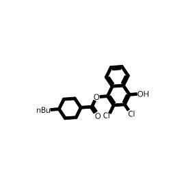 CCCCC1CCC(C(=O)Oc2c(Cl)c(Cl)c(O)c3ccccc23)CC1